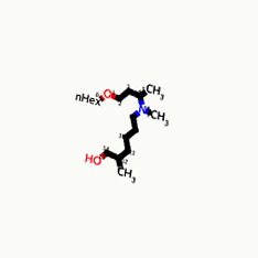 CCCCCCOCCC(C)N(C)CCCCC(C)CO